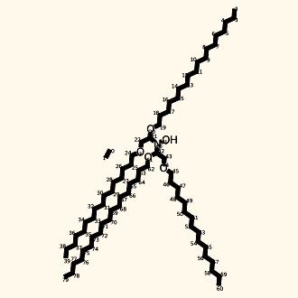 CC.CCCCCCCCCCCCCCCCCCOC(COCCCCCCCCCCCCCCCC)N(O)C(COCCCCCCCCCCCCCCCC)OCCCCCCCCCCCCCCCCCC